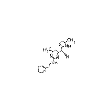 CC1=CSC(=C(C#N)c2cc(C)nc(NCCc3ccccn3)n2)N1